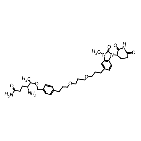 C[C@@H](OCc1ccc(CCCOCCCOCCCc2ccc3c(c2)n(C)c(=O)n3C2CCC(=O)NC2=O)cc1)[C@@H](N)CCC(N)=O